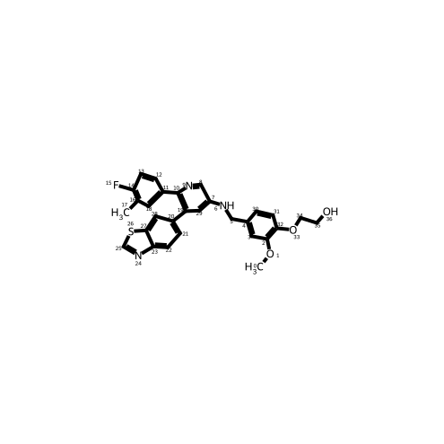 COc1cc(CNc2cnc(-c3ccc(F)c(C)c3)c(-c3ccc4ncsc4c3)c2)ccc1OCCO